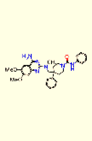 COc1cc2nc(N(C)CC3(c4ccccc4)CCN(C(=O)Nc4ccccc4)CC3)nc(N)c2cc1OC